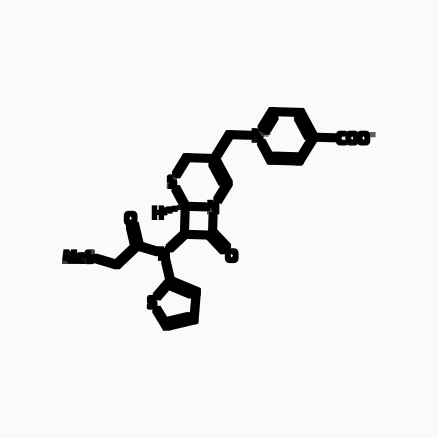 CSCC(=O)N(c1cccs1)C1C(=O)N2C=C(C[n+]3ccc(C(=O)[O-])cc3)CS[C@H]12